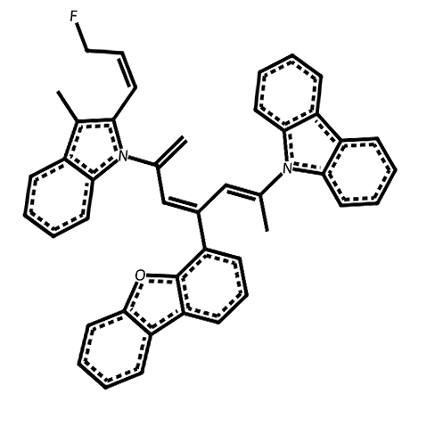 C=C(/C=C(\C=C(/C)n1c2ccccc2c2ccccc21)c1cccc2c1oc1ccccc12)n1c(/C=C\CF)c(C)c2ccccc21